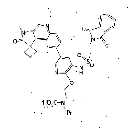 CC(C)N(CCOc1ncc(-c2ccc3ncc4c(c3c2)C2(CCC2)C(=O)N4C)cc1NS(=O)(=O)CCN1C(=O)c2ccccc2C1=O)C(=O)O